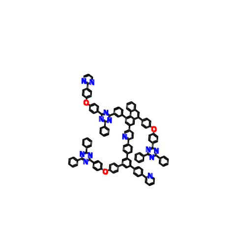 c1ccc(-c2nc(-c3ccccc3)nc(-c3ccc(Oc4ccc(-c5cc(-c6ccc(-c7ccccn7)cc6)cc(-c6ccc(-c7ccc(-c8cc(-c9cccc(-c%10nc(-c%11ccccc%11)nc(-c%11ccc(Oc%12ccc(-c%13ncccn%13)cc%12)cc%11)n%10)c9)c9c(c8)c(-c8ccc(Oc%10ccc(-c%11nc(-c%12ccccc%12)nc(-c%12ccccc%12)n%11)cc%10)cc8)cc8ccccc89)cn7)cc6)c5)cc4)cc3)n2)cc1